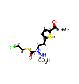 COC(=O)c1ccc(CCN(NC(=O)O)C(=O)SCCCl)s1